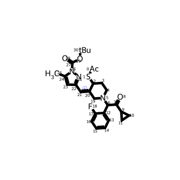 CC(=O)SC1CCN(C(C(=O)C2CC2)c2ccccc2F)C/C1=C/c1cc(C)n(C(=O)OC(C)(C)C)n1